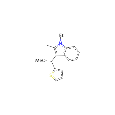 CCn1c(C)c(C(OC)c2cccs2)c2ccccc21